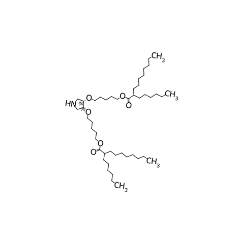 CCCCCCCCC(CCCCCC)C(=O)OCCCCCO[C@H]1CNC[C@H]1OCCCCCOC(=O)C(CCCCCC)CCCCCCCC